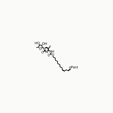 CCCCC/C=C\C/C=C\CCCCCCCCOC(=O)Nc1nc(=O)n(C2OC(C)C(O)C2O)cc1F